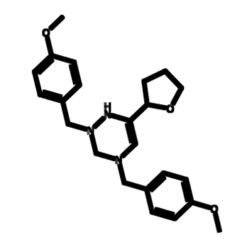 COc1ccc(CN2C=C(C3CCCO3)NN(Cc3ccc(OC)cc3)C2)cc1